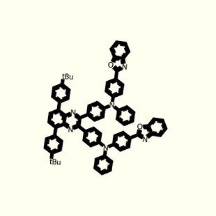 CC(C)(C)c1ccc(-c2ccc(-c3ccc(C(C)(C)C)cc3)c3nc(-c4ccc(N(c5ccccc5)c5ccc(-c6nc7ccccc7o6)cc5)cc4)c(-c4ccc(N(c5ccccc5)c5ccc(-c6nc7ccccc7o6)cc5)cc4)nc23)cc1